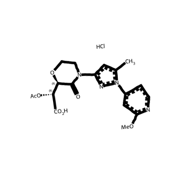 COc1cc(-n2nc(N3CCO[C@H]([C@@H](OC(C)=O)C(=O)O)C3=O)cc2C)ccn1.Cl